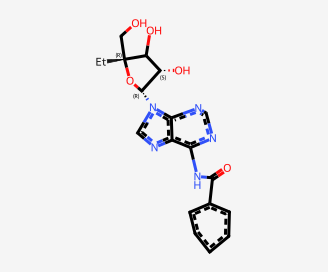 CC[C@]1(CO)O[C@@H](n2cnc3c(NC(=O)c4ccccc4)ncnc32)[C@@H](O)C1O